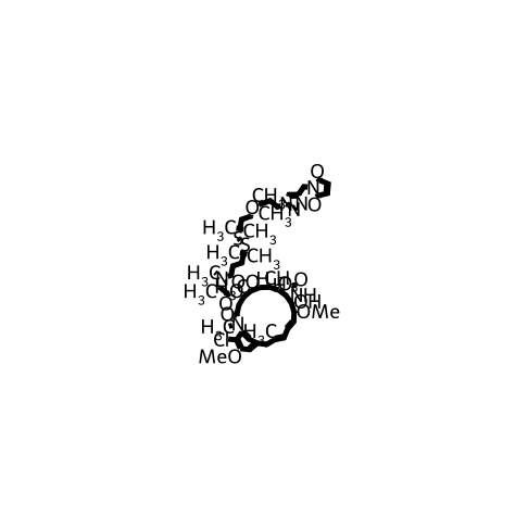 COc1cc2cc(c1Cl)N(C)C(=O)C[C@H](OC(=O)[C@H](C)N(C)C(=O)CCC(C)(C)SSC(C)(C)CCOC(C)(C)CCn1cc(CN3C(=O)C=CC3=O)nn1)[C@]1(C)O[C@H]1[C@H](C)[C@@H]1C[C@@](O)(NC(=O)O1)[C@H](OC)/C=C/C=C(\C)C2